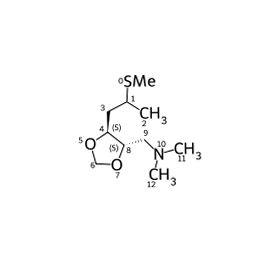 CSC(C)C[C@@H]1OCO[C@H]1CN(C)C